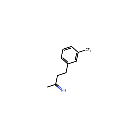 CC(=N)CCc1cccc(C(F)(F)F)c1